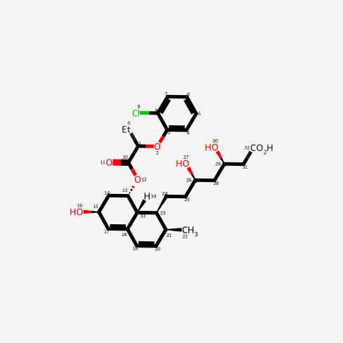 CCC(Oc1ccccc1Cl)C(=O)O[C@H]1C[C@H](O)C=C2C=C[C@H](C)[C@H](CC[C@@H](O)C[C@@H](O)CC(=O)O)[C@H]21